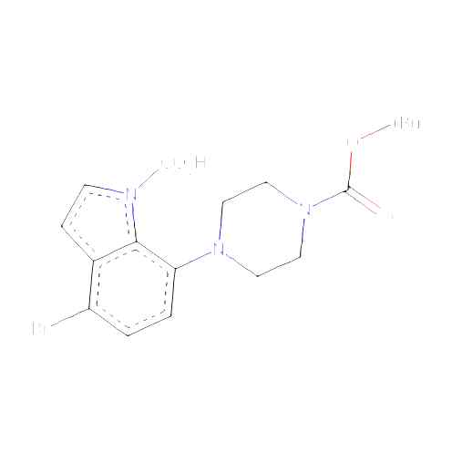 CC(C)(C)OC(=O)N1CCN(c2ccc(Br)c3ccn(C(=O)O)c23)CC1